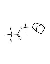 CCC(C)(C)C(=O)OC(C)(C)C1CC2CCC1O2